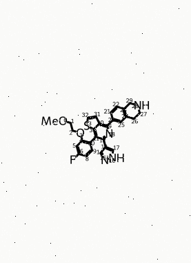 COCCOc1cc(F)ccc1-c1c(-c2cn[nH]c2)nc(-c2ccc3c(c2)CCNC3)c2ccsc12